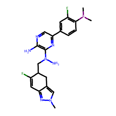 Cn1cc2c(n1)C=C(F)C(CN(N)c1nc(-c3ccc(P(C)C)c(F)c3)cnc1N)C2